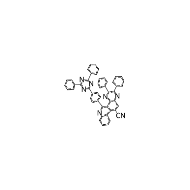 N#Cc1cc2nc(-c3ccccc3)c(-c3ccccc3)nc2c2c(-c3ccc(-c4nc(-c5ccccc5)nc(-c5ccccc5)n4)cc3)nc3ccccc3c12